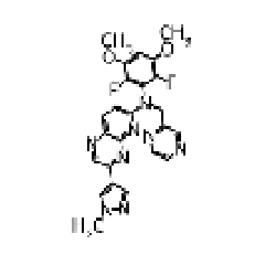 COc1cc(OC)c(F)c(N(Cc2cnccn2)c2ccc3ncc(-c4cnn(C)c4)nc3n2)c1F